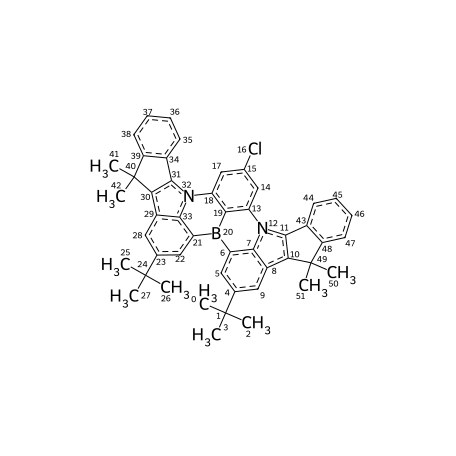 CC(C)(C)c1cc2c3c(c1)c1c(n3-c3cc(Cl)cc4c3B2c2cc(C(C)(C)C)cc3c5c(n-4c23)-c2ccccc2C5(C)C)-c2ccccc2C1(C)C